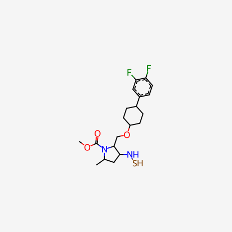 COC(=O)N1C(C)CC(NS)C1COC1CCC(c2ccc(F)c(F)c2)CC1